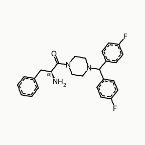 N[C@@H](Cc1ccccc1)C(=O)N1CCN(C(c2ccc(F)cc2)c2ccc(F)cc2)CC1